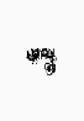 CC1=C(C)C(N2CCc3ncc(OCCN4CCOC4=O)cc3C2)Nn2c1nccc2=O